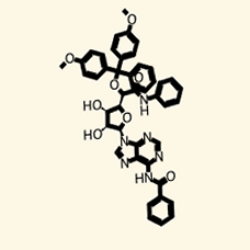 COc1ccc(C(OC(C(=O)Nc2ccccc2)[C@H]2O[C@@H](n3cnc4c(NC(=O)c5ccccc5)ncnc43)[C@H](O)[C@@H]2O)(c2ccccc2)c2ccc(OC)cc2)cc1